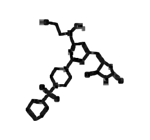 CN(CCO)c1cc(/C=C2/SC(=O)NC2=O)nc(N2CCN(S(=O)(=O)c3ccccc3)CC2)n1